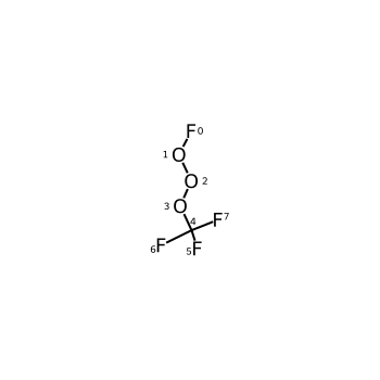 FOOOC(F)(F)F